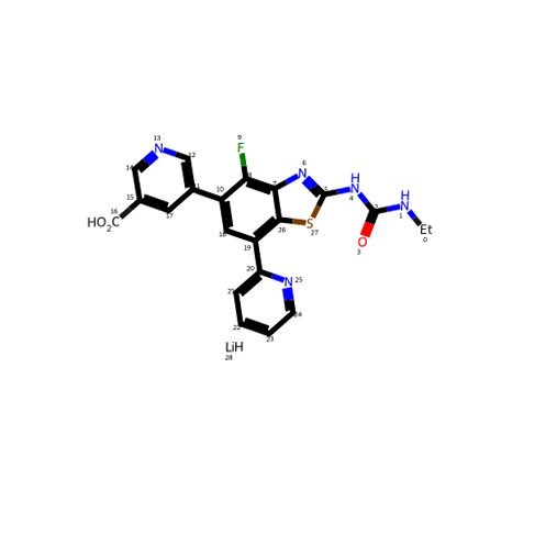 CCNC(=O)Nc1nc2c(F)c(-c3cncc(C(=O)O)c3)cc(-c3ccccn3)c2s1.[LiH]